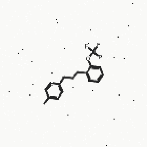 Cc1ccc([CH]CCc2ccccc2OC(F)(F)F)cc1